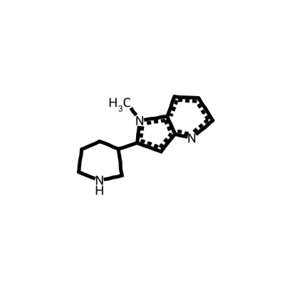 Cn1c(C2CCCNC2)cc2ncccc21